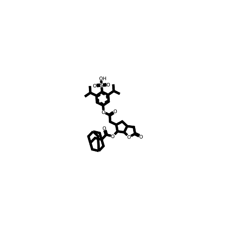 CC(C)c1cc(OC(=O)CC2CC3CC(=O)OC3C2OC(=O)C23CC4CC(CC(C4)C2)C3)cc(C(C)C)c1S(=O)(=O)O